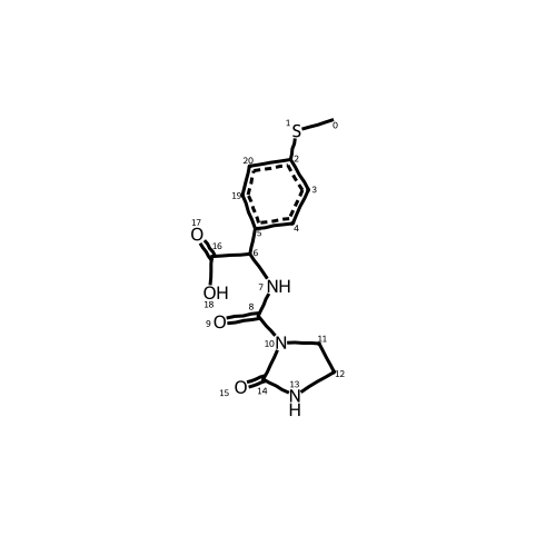 CSc1ccc(C(NC(=O)N2CCNC2=O)C(=O)O)cc1